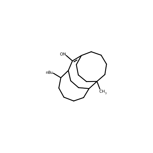 CCCCC1CCCCC2CCC1/C(N=O)=C1/CCCCC2(C)CCC1